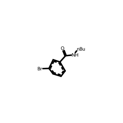 CCCCNC(=O)c1cccc(Br)c1